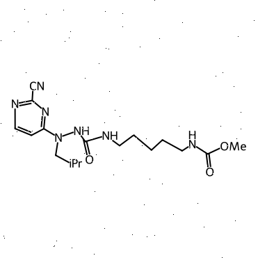 COC(=O)NCCCCCNC(=O)NN(CC(C)C)c1ccnc(C#N)n1